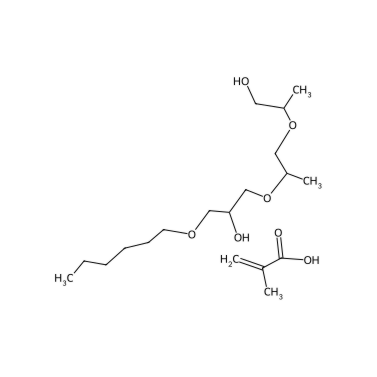 C=C(C)C(=O)O.CCCCCCOCC(O)COC(C)COC(C)CO